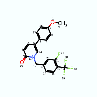 COc1ccc(-c2ccc(=O)n(Cc3ccc(C(F)(F)F)c(F)c3)c2)cc1